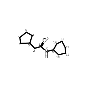 O=C(CC1CCCC1)NC1CCCCC1